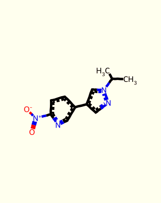 CC(C)n1cc(-c2ccc([N+](=O)[O-])nc2)cn1